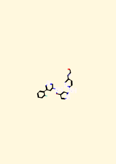 O=C(O)/C=C/c1ccc(Nc2cc(C(=O)Nc3cncc(-c4ccccc4F)c3)ccn2)nc1